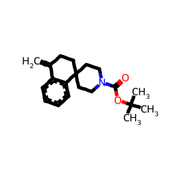 C=C1CCC2(CCN(C(=O)OC(C)(C)C)CC2)c2ccccc21